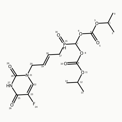 CC(C)OC(=O)OC(OC(=O)OC(C)C)[PH](=O)CC=CCn1cc(F)c(=O)[nH]c1=O